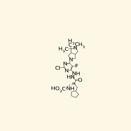 CN1CC2CN(c3nc(Cl)nc(NNC(=O)[C@@H](CNC(=O)O)CC4CCCC4)c3F)CC2C1(C)C